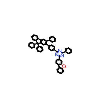 c1ccc(-c2nc(-c3ccc(-c4cc5c(cc4-c4ccccc4)-c4ccccc4C5(c4ccccc4)c4ccccc4)cc3)nc(-c3ccc4c(c3)oc3ccccc34)n2)cc1